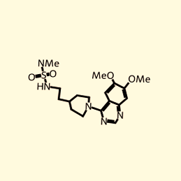 CNS(=O)(=O)NCCC1CCN(c2ncnc3cc(OC)c(OC)cc23)CC1